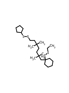 CCSSC1(CC(C)(C)CCC(C)(C)CCSSC2CCCC2)CCCCC1